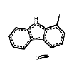 C=O.Cc1cccc2c1[nH]c1ccccc12